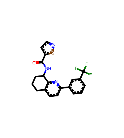 O=C(NC1CCCc2ccc(-c3cccc(C(F)(F)F)c3)nc21)c1ccns1